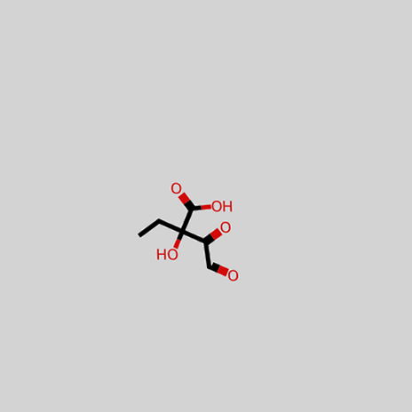 CCC(O)(C(=O)O)C(=O)C=O